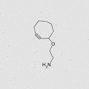 NCCOC1C#CCCCCC1